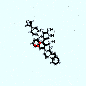 CC1NC=C(c2cc(F)cc(N3CCn4c(cc5c4CCCC5)C3=O)c2CO)N(N(c2ccccc2)N2CCN(C3COC3)CC2)C1=O